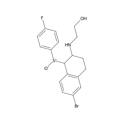 [O-][S+](c1ccc(F)cc1)C1c2ccc(Br)cc2CCC1NCCO